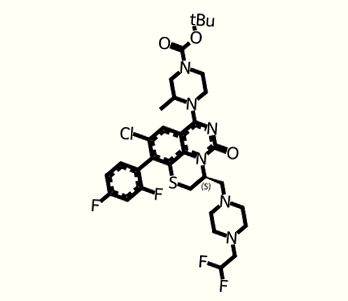 CC1CN(C(=O)OC(C)(C)C)CCN1c1nc(=O)n2c3c(c(-c4ccc(F)cc4F)c(Cl)cc13)SC[C@@H]2CN1CCN(CC(F)F)CC1